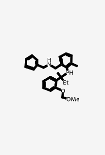 CCC(C)(Pc1c(C)cccc1CNCc1ccccc1)c1ccccc1OCOC